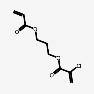 C=CC(=O)OCCCOC(=O)C(=C)Cl